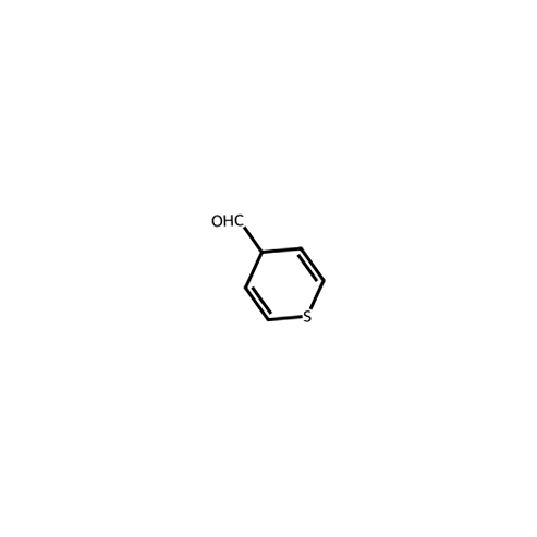 O=CC1C=CSC=C1